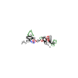 CC(=NOCCCCOc1c(C)cc(OCC=C(Cl)Cl)cc1Cl)c1ccc(Cl)cc1